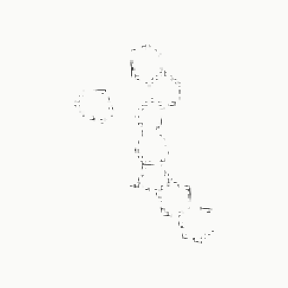 c1ccc(-n2c3cc4[nH]c5cc6ccccc6cc5c4cc3c3ccc4ccccc4c32)cc1